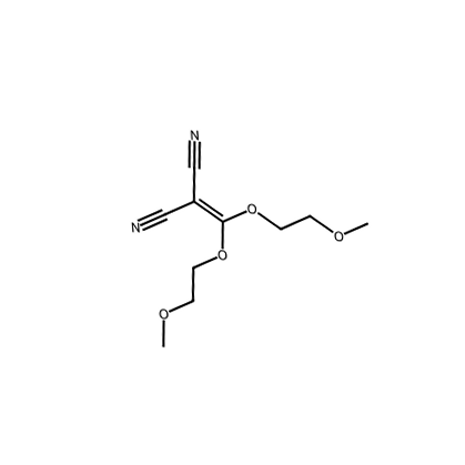 COCCOC(OCCOC)=C(C#N)C#N